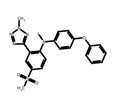 Cn1nnc(-c2cc(S(C)(=O)=O)ccc2N(I)c2ccc(Oc3ccccc3)cc2)n1